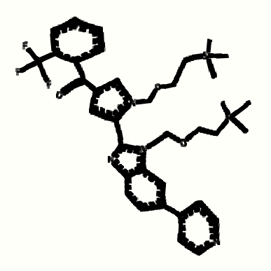 C[Si](C)(C)CCOCn1cc(C(=O)c2ccccc2C(F)(F)F)cc1-c1nc2ccc(-c3ccncc3)cc2n1COCC[Si](C)(C)C